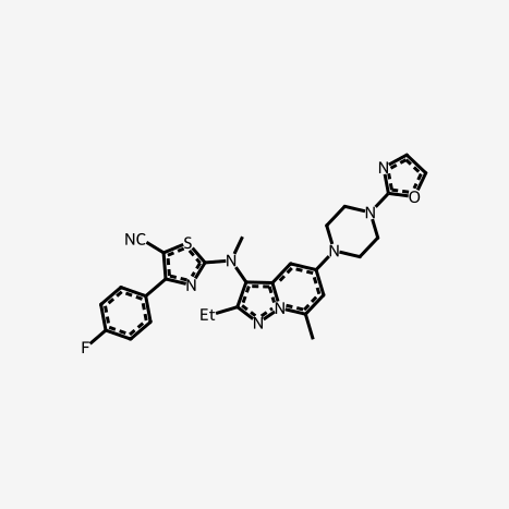 CCc1nn2c(C)cc(N3CCN(c4ncco4)CC3)cc2c1N(C)c1nc(-c2ccc(F)cc2)c(C#N)s1